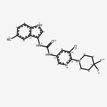 N#Cc1ccc2[nH]cc(NC(=O)Nc3cnc(N4CCC(F)(F)CC4)c(Cl)c3)c2c1